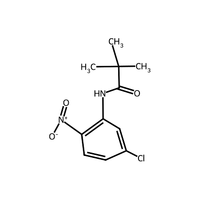 CC(C)(C)C(=O)Nc1cc(Cl)ccc1[N+](=O)[O-]